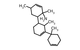 CC1C=CC(C)(N)C(C2CCC=C(C3(C)CC=CCC3)C2C)C1